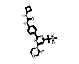 C[C@H]1COCCN1c1cc(C(C)(C)S(C)(=O)=O)nc(-c2ccc(NC(=O)NC3CCC3)cc2)n1